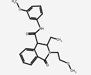 CCC1C(C(=O)Nc2cccc(OC)c2)c2ccccc2C(=O)N1CCOC